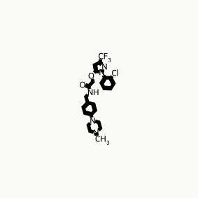 CN1CCN(c2ccc(CNC(=O)COc3cc(C(F)(F)F)nn3-c3ccccc3Cl)cc2)CC1